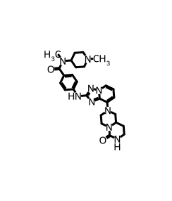 CN1CCC(N(C)C(=O)c2ccc(Nc3nc4c(N5CCN6C(=O)NCCC6C5)cccn4n3)cc2)CC1